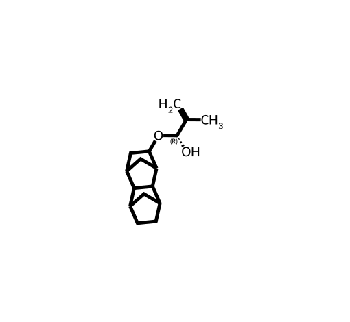 C=C(C)[C@H](O)OC1CC2CC1C1C3CCC(C3)C21